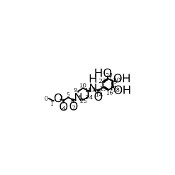 CCOC(=O)CC(=O)N1CCC(NC(=O)c2cc(O)c(O)c(O)c2)CC1